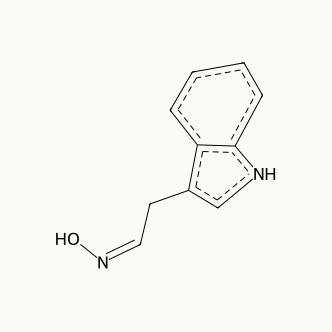 O/N=C\Cc1c[nH]c2ccccc12